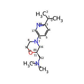 CC(C)c1ccc(N2CCO[C@H](CN(C)C)C2)cn1